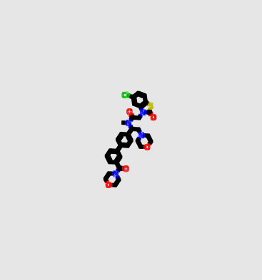 CN(C(=O)Cn1c(=O)sc2ccc(Cl)cc21)C(CN1CCOCC1)c1ccc(-c2cccc(C(=O)N3CCOCC3)c2)cc1